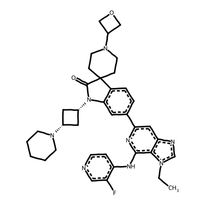 CCn1cnc2cc(-c3ccc4c(c3)N([C@H]3C[C@@H](N5CCCCC5)C3)C(=O)C43CCN(C4COC4)CC3)nc(Nc3ccncc3F)c21